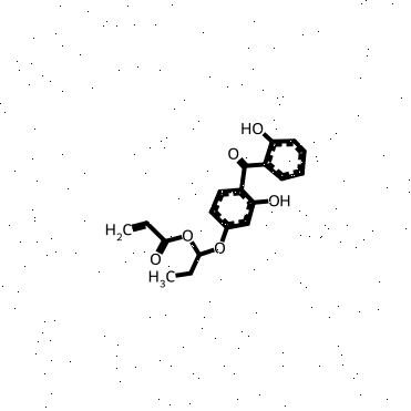 C=CC(=O)OC(CC)Oc1ccc(C(=O)c2ccccc2O)c(O)c1